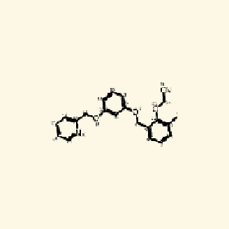 Cc1cccc(COc2cccc(OCc3ccccn3)c2)c1OCC#N